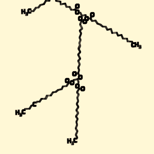 CCCCCCCC/C=C\CCCCCCCC(=O)OCC(COC(=O)CCCCCCCCCCCCCCCCC)OC(=O)CCCCCCCC=CCCCCCCCC(=O)OC(COC(=O)CCCCCCC/C=C/CCCCCCCC)COC(=O)CCCCCCCCCCCCCCCCC